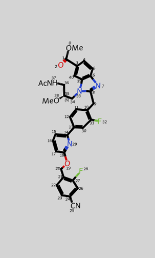 COC(=O)c1ccc2nc(Cc3ccc(-c4cccc(OCc5ccc(C#N)cc5F)n4)cc3F)n(C[C@H](CNC(C)=O)OC)c2c1